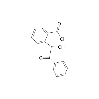 O=C(Cl)c1ccccc1C(O)C(=O)c1ccccc1